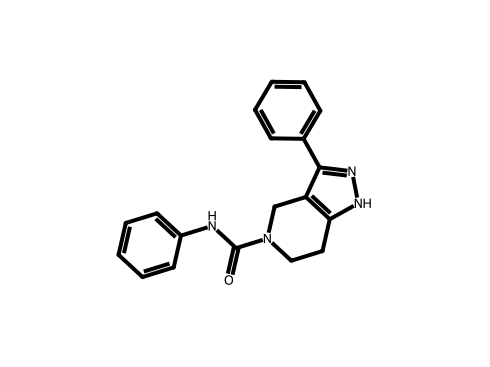 O=C(Nc1ccccc1)N1CCc2[nH]nc(-c3ccccc3)c2C1